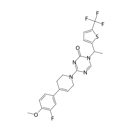 COc1ccc(C2=CCN(c3ncn(C(C)c4ccc(C(F)(F)F)s4)c(=O)n3)CC2)cc1F